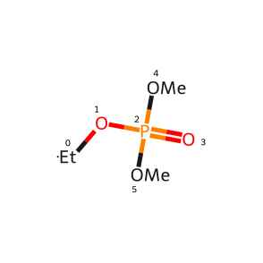 C[CH]OP(=O)(OC)OC